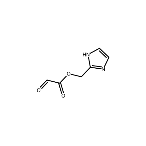 O=CC(=O)OCc1ncc[nH]1